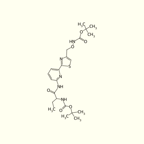 CCC(NC(=O)OC(C)(C)C)C(=O)Nc1cccc(-c2nc(CONC(=O)OC(C)(C)C)cs2)n1